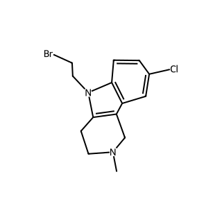 CN1CCc2c(c3cc(Cl)ccc3n2CCBr)C1